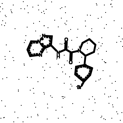 O=C(Nc1cnn2cccnc12)C(=O)N1CCCCC1c1ccc(Br)cc1